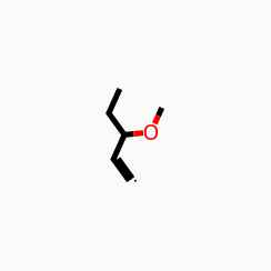 [CH]=CC(CC)OC